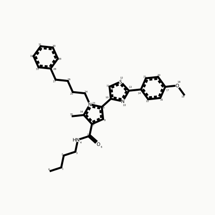 CCCCNC(=O)c1cc(-c2csc(-c3ccc(OC)cc3)n2)n(CCCCc2ccccc2)c1C